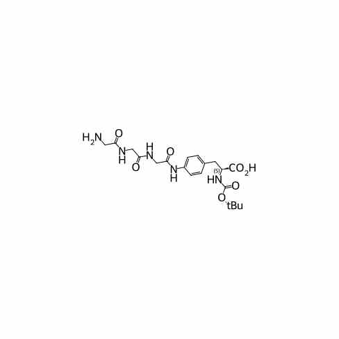 CC(C)(C)OC(=O)N[C@@H](Cc1ccc(NC(=O)CNC(=O)CNC(=O)CN)cc1)C(=O)O